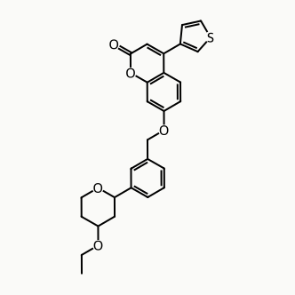 CCOC1CCOC(c2cccc(COc3ccc4c(-c5ccsc5)cc(=O)oc4c3)c2)C1